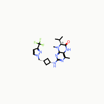 Cc1nc(N[C@H]2C[C@@H](Cn3ccc(C(F)(F)F)n3)C2)nc2c1NC(=O)[C@H](C(C)C)N2C